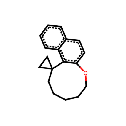 c1ccc2c3c(ccc2c1)OCCCCCC31CC1